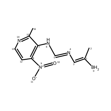 B/C(C)=C/N=C/Nc1c([N+](=O)[O-])ccnc1C